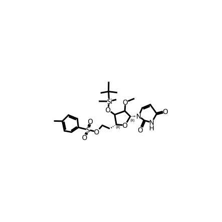 COC1C(O[Si](C)(C)C(C)(C)C)[C@@H](CCOS(=O)(=O)c2ccc(C)cc2)O[C@H]1n1ccc(=O)[nH]c1=O